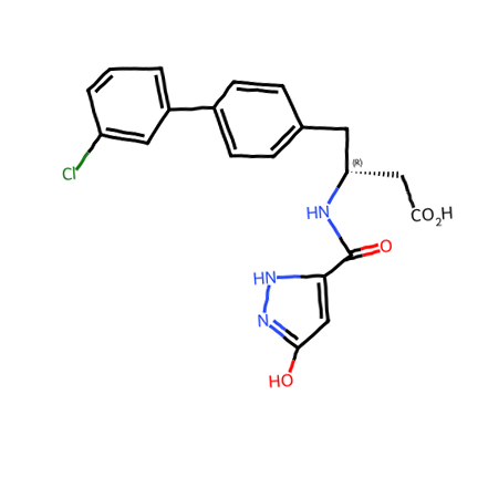 O=C(O)C[C@@H](Cc1ccc(-c2cccc(Cl)c2)cc1)NC(=O)c1cc(O)n[nH]1